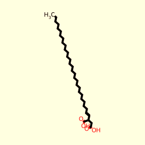 CCCCCCCCCCCCCCCCCCCCCCCCCCCCC=CC(CC(=O)O)C(=O)O